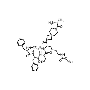 CC(C)C[C@@H](NC(=O)[C@@H](Cc1ccccc1)NC(=O)[C@@H](Cc1ccccc1)NC(=O)O)C(=O)N[C@H](CCCCNC(=O)OC(C)(C)C)C(=O)N1CC2(CCN(C(=O)[C@@H](C)N)CC2)C1